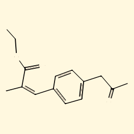 CCOC(=O)C(C)=Cc1ccc(CC(C)=O)cc1